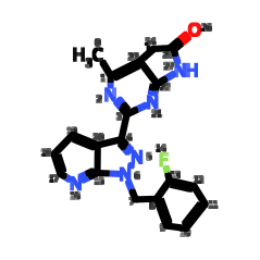 Cc1nc(-c2nn(Cc3ccccc3F)c3ncccc23)nc2c1[C]C(=O)N2